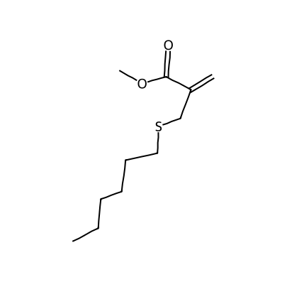 C=C(CSCCCCCC)C(=O)OC